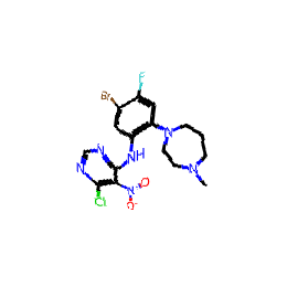 CN1CCCN(c2cc(F)c(Br)cc2Nc2ncnc(Cl)c2[N+](=O)[O-])CC1